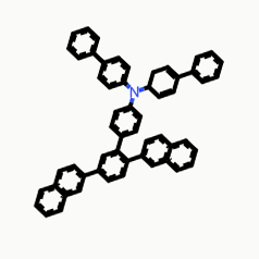 C1=CC(N(c2ccc(-c3ccccc3)cc2)c2ccc(-c3cc(-c4ccc5ccccc5c4)ccc3-c3ccc4ccccc4c3)cc2)CC=C1c1ccccc1